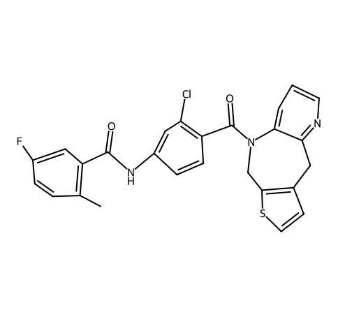 Cc1ccc(F)cc1C(=O)Nc1ccc(C(=O)N2Cc3sccc3Cc3ncccc32)c(Cl)c1